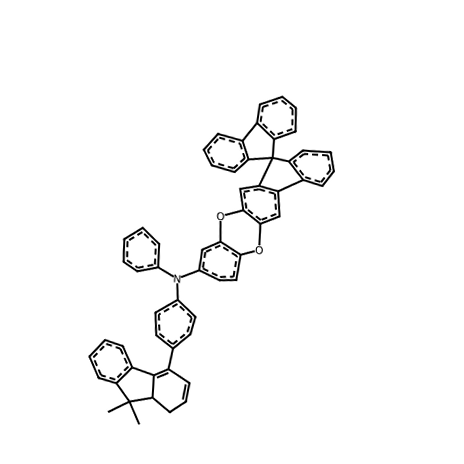 CC1(C)c2ccccc2C2=C(c3ccc(N(c4ccccc4)c4ccc5c(c4)Oc4cc6c(cc4O5)-c4ccccc4C64c5ccccc5-c5ccccc54)cc3)C=CCC21